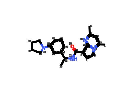 Cc1cc(C)n2ccc(C(=O)NC(C)c3cccc(N4CCCC4)c3)c2n1